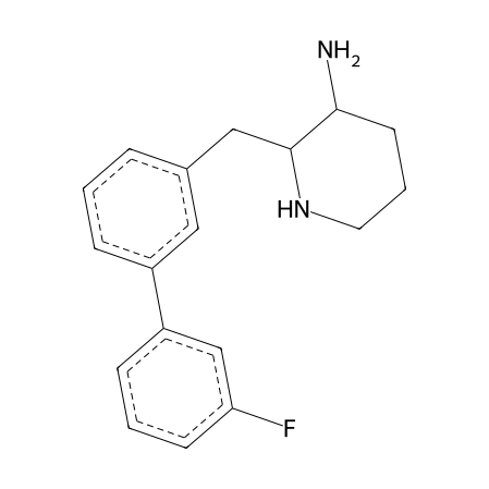 NC1CCCNC1Cc1cccc(-c2cccc(F)c2)c1